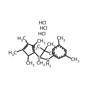 CC1=C(C)C(C)[C]([Ti]([CH3])([SiH2]c2cc(C)cc(C)c2)[C](C)(C)C)=C1C.Cl.Cl.Cl